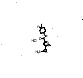 Cc1sc(C(=O)NC2CCC(F)(F)CC2)cc1C1CC1N.Cl